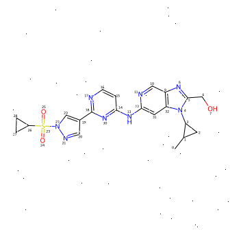 CC1CC1n1c(CO)nc2cnc(Nc3ccnc(-c4cnn(S(=O)(=O)C5CC5)c4)n3)cc21